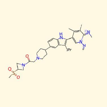 C=Nn1cc(-c2[nH]c3ccc(C4CCN(CC(=O)N5CC(S(C)(=O)=O)C5)CC4)cc3c2C(C)C)c(C)c(C)/c1=N/C